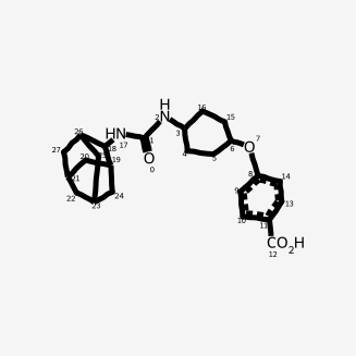 O=C(NC1CCC(Oc2ccc(C(=O)O)cc2)CC1)NC1C2CC3CC(C2)CC1C3